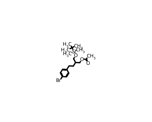 CC(=O)OCC(CCc1ccc(Br)cc1)CO[Si](C)(C)C(C)(C)C